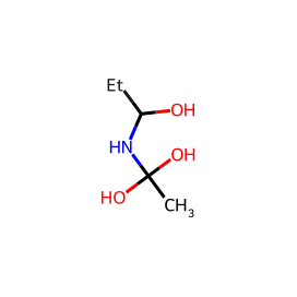 CCC(O)NC(C)(O)O